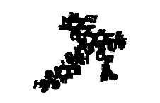 CNS(=O)(=O)c1ccc(S(=O)(=O)NCC(=O)O[C@@H](Cc2c(Cl)cncc2Cl)c2ccc(OC(F)F)c(OCC3CC3)c2)cc1